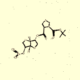 CC(C)(C)OC(=O)N1CSCC1C(=O)O[C@@H]1CO[C@H]2[C@@H]1OC[C@@H]2O[N+](=O)[O-]